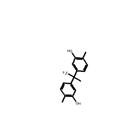 Cc1ccc(C(C)(c2ccc(C)c(O)c2)C(F)(F)F)cc1O